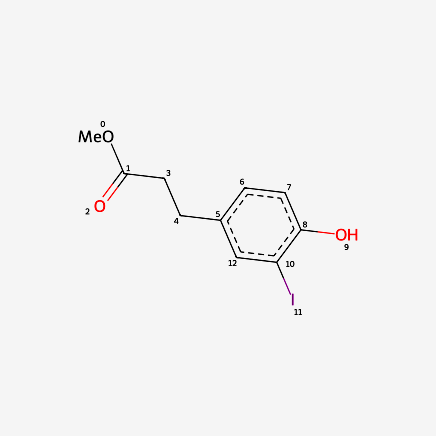 COC(=O)CCc1ccc(O)c(I)c1